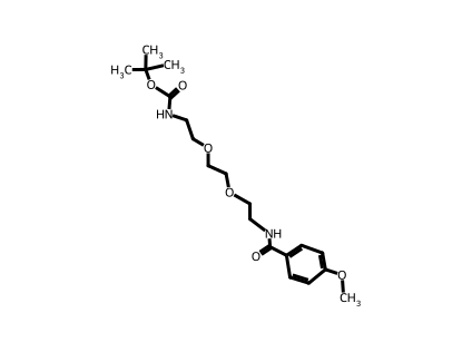 COc1ccc(C(=O)NCCOCCOCCNC(=O)OC(C)(C)C)cc1